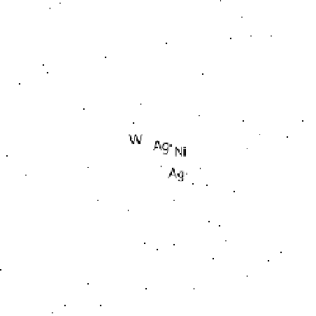 [Ag].[Ag].[Ni].[W]